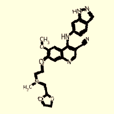 COc1cc2c(Nc3ccc4cn[nH]c4c3)c(C#N)cnc2cc1OCCN(C)CC1OCCO1